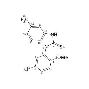 COc1ccc(Cl)cc1-n1c(=S)[nH]c2cc(C(F)(F)F)ccc21